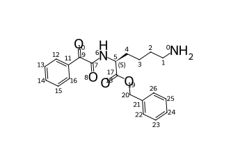 NCCCC[C@H](NC(=O)C(=O)c1ccccc1)C(=O)OCc1ccccc1